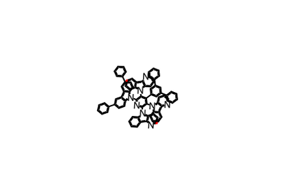 c1ccc(-c2cc(-c3ccccc3)cc(-c3c(-n4c5ccccc5c5ncccc54)c(-n4c5ccc(-c6ccccc6)cc5c5cc(-c6ccccc6)ccc54)nc(-n4c5ccccc5c5ncccc54)c3-n3c4ccccc4c4ncccc43)c2)cc1